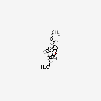 C=CCOC(=O)Oc1ccc2c3c1O[C@H]1C(=O)CC[C@@]4(OC(=O)OCC=C)[C@H](CCC[C@]314)C2